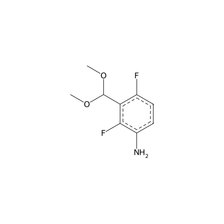 COC(OC)c1c(F)ccc(N)c1F